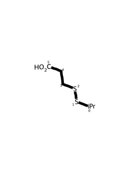 CC(C)SSCCC(=O)O